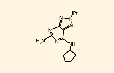 CC(C)n1nc2nc(N)nc(NC3CCCC3)c2n1